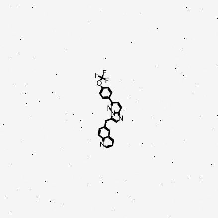 FC(F)(F)Oc1ccc(-c2ccc3ncc(Cc4ccc5ncccc5c4)n3n2)cc1